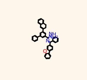 NN/C(=N\C(c1ccccc1)c1ccc2c(c1)oc1ccccc12)c1cc(C2=Cc3ccccc3CC2)cc(-c2ccccc2)c1